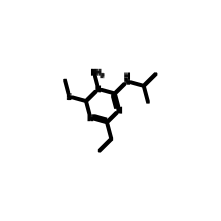 CCC1=NC(SC)N(N)C(NC(C)C)=N1